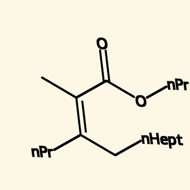 CCCCCCCCC(CCC)=C(C)C(=O)OCCC